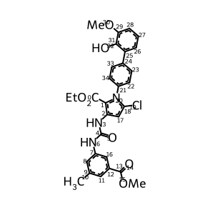 CCOC(=O)c1c(NC(=O)Nc2cc(C)cc(C(=O)OC)c2)cc(Cl)n1-c1ccc(-c2cccc(OC)c2O)cc1